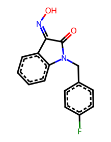 O=C1/C(=N\O)c2ccccc2N1Cc1ccc(F)cc1